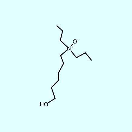 CCC[N+]([O-])(CCC)CCCCCCO